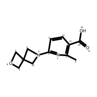 Cc1nc(N2CC3(COC3)C2)ccc1C(=O)O